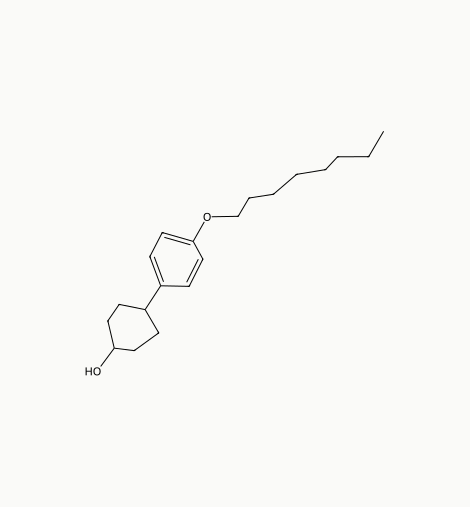 CCCCCCCCOc1ccc(C2CCC(O)CC2)cc1